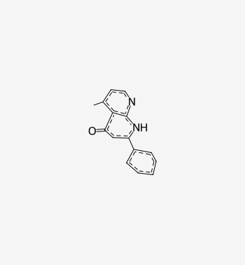 Cc1ccnc2[nH]c(-c3ccccc3)cc(=O)c12